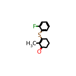 CC1=C(Sc2ccccc2F)CCCC1=O